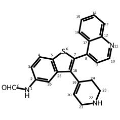 O=CNc1ccc2sc(-c3ccnc4ccccc34)c(C3=CCNCC3)c2c1